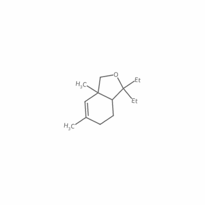 CCC1(CC)OCC2(C)C=C(C)CCC21